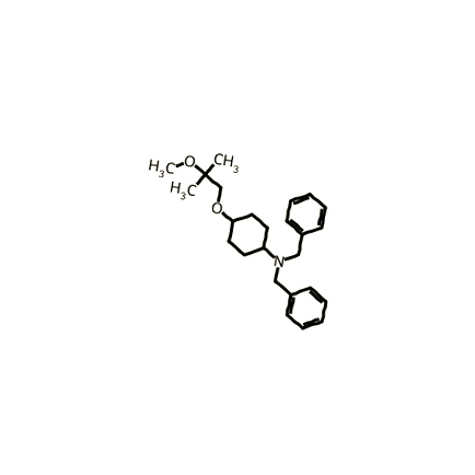 COC(C)(C)COC1CCC(N(Cc2ccccc2)Cc2ccccc2)CC1